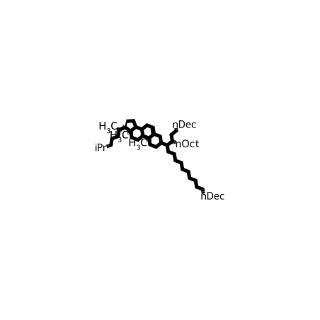 CCCCCCCCCCCCCCCCCCCCC([C](CCCCCCCC)CCCCCCCCCCCC)C1CC[C@@]2(C)C(=CCC3C2CC[C@@]2(C)C3CC[C@@H]2[C@H](C)CCCC(C)C)C1